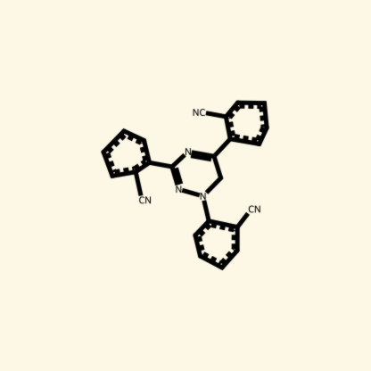 N#Cc1ccccc1C1=NC(c2ccccc2C#N)=NN(c2ccccc2C#N)C1